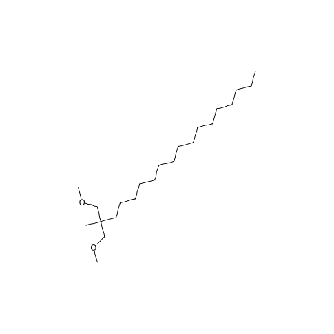 CCCCCCCCCCCCCCCCC(C)(COC)COC